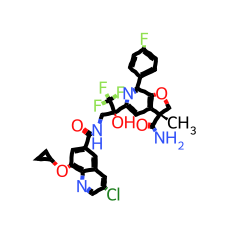 C[C@]1(C(N)=O)COc2c1cc([C@@](O)(CNC(=O)c1cc(OC3CC3)c3ncc(Cl)cc3c1)C(F)(F)F)nc2-c1ccc(F)cc1